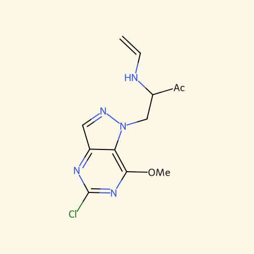 C=CNC(Cn1ncc2nc(Cl)nc(OC)c21)C(C)=O